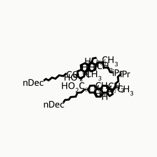 CC(C)CCC[C@@H](C)[C@H]1CC[C@H]2[C@@H]3CC=C4C[C@@H](O)CC[C@]4(C)[C@H]3CC[C@]12C.CCCCCCCCCCCCCCCCC(C(=O)O)[C@H]1CC[C@@]2(C)C(=CC[C@H]3[C@@H]4CC[C@H]([C@H](C)CCCC(C)C)[C@@]4(C)CC[C@@H]32)C1.CCCCCCCCCCCCCCCCCC(=O)O